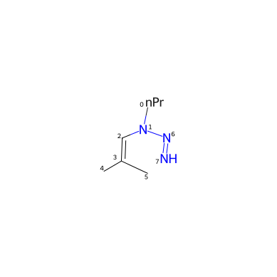 CCCN(C=C(C)C)N=N